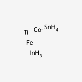 [Co].[Fe].[InH3].[SnH4].[Ti]